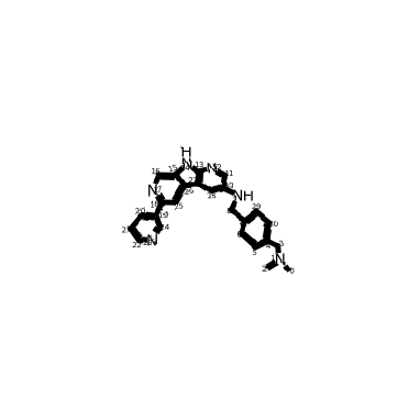 CN(C)Cc1ccc(CNc2cnc3[nH]c4cnc(-c5cccnc5)cc4c3c2)cc1